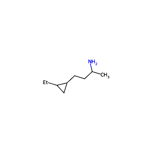 CCC1CC1CCC(C)N